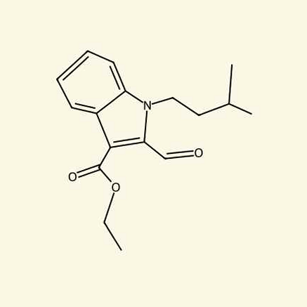 CCOC(=O)c1c(C=O)n(CCC(C)C)c2ccccc12